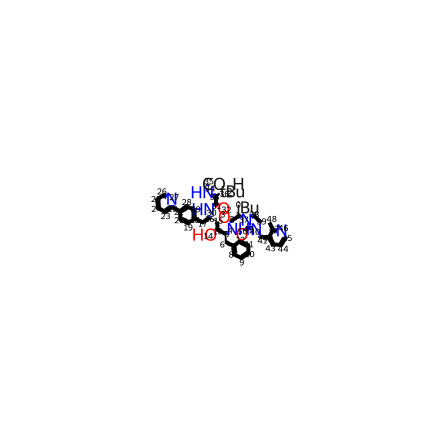 CCC(C)[C@@H](C(=O)N[C@@H](Cc1ccccc1)[C@@H](O)C[C@H](Cc1ccc(-c2ccccn2)cc1)NC(=O)[C@@H](NC(=O)O)C(C)(C)C)N1CCN(Cc2cccnc2C)C1=O